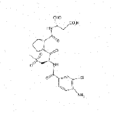 CS(=O)(=O)C[C@H](NC(=O)c1ccc(N)c(Cl)c1)C(=O)N1CCCC1C(=O)N[C@H](C=O)CC(=O)O